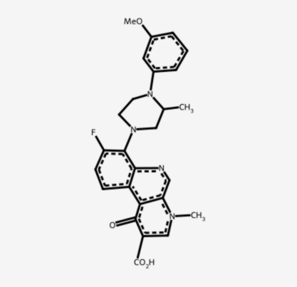 COc1cccc(N2CCN(c3c(F)ccc4c3ncc3c4c(=O)c(C(=O)O)cn3C)CC2C)c1